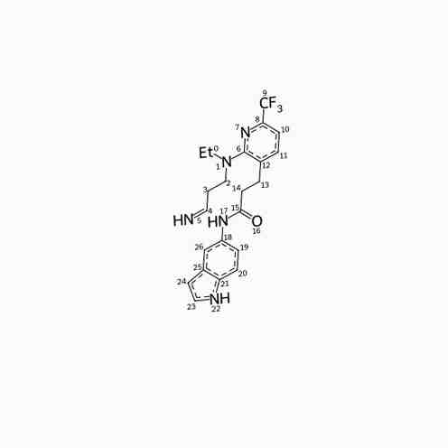 CCN(CCC=N)c1nc(C(F)(F)F)ccc1CCC(=O)Nc1ccc2[nH]ccc2c1